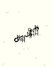 O=C(NCc1ncc[nH]1)c1csc(CCNCC2=NC3C=CC=CC3N2)n1